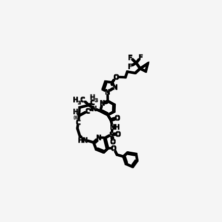 CC1(C)C[C@@H]2CCCNc3ccc(OCc4ccccc4)c(n3)S(=O)(=O)NC(=O)c3ccc(-n4ccc(OCCCC5(C(F)(F)F)CC5)n4)nc3N1C2